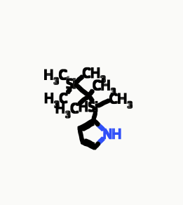 C[SiH](c1ccc[nH]1)C(C)(C)[Si](C)(C)C